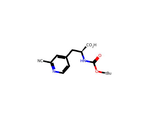 CC(C)(C)OC(=O)N[C@@H](Cc1ccnc(C#N)c1)C(=O)O